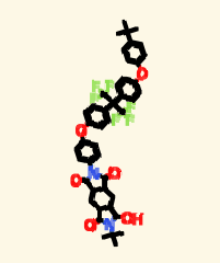 CC(C)(C)c1ccc(Oc2ccc(C(c3ccc(Oc4ccc(N5C(=O)C6CC7C(=O)N(C(C)(C)C)C(O)C7CC6C5=O)cc4)cc3)(C(F)(F)F)C(F)(F)F)cc2)cc1